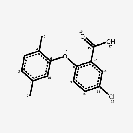 Cc1ccc(C)c(Oc2ccc(Cl)cc2C(=O)O)c1